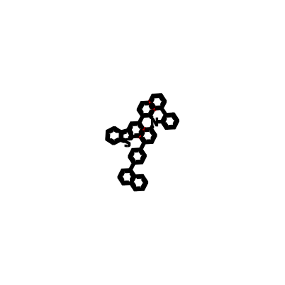 c1ccc(-c2ccccc2N(c2ccc(-c3ccc(-c4cccc5ccccc45)cc3)cc2)c2ccccc2-c2ccc3sc4ccccc4c3c2)cc1